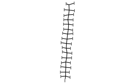 I[C](I)C(I)(I)C(I)(I)C(I)(I)C(I)(I)C(I)(I)C(I)(I)C(I)(I)C(I)(I)C(I)(I)C(I)(I)C(I)(I)C(I)(I)C(I)(I)C(I)(I)C(I)(I)I